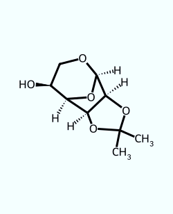 CC1(C)O[C@@H]2[C@H](O1)[C@@H]1OC[C@H](O)[C@H]2O1